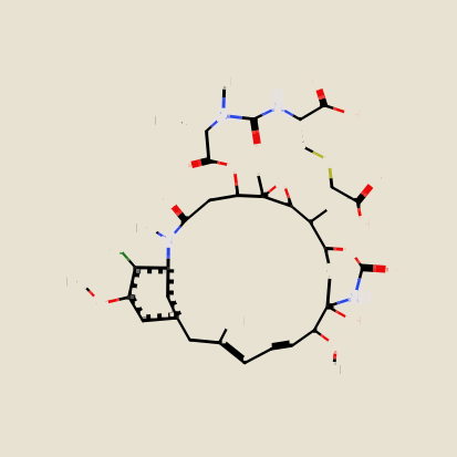 COc1cc2cc(c1Cl)N(C)C(=O)CC(OC(=O)[C@H](C)N(C)C(=O)N[C@@H](CSCC(=O)O)C(=O)O)C1(C)OC1C(C)C1CC(O)(NC(=O)O1)C(OC)/C=C/C=C(\C)C2